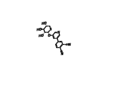 N#Cc1ccc(-c2cncc(O[C@H]3SC[C@@H](O)[C@H](O)[C@H]3O)c2)cc1C#N